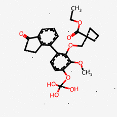 CCOC(=O)C1(COc2c(-c3cccc4c3CCC4=O)ccc(OC(O)(O)O)c2OC)CCC1